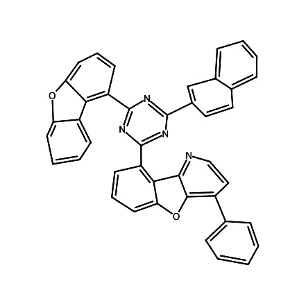 c1ccc(-c2ccnc3c2oc2cccc(-c4nc(-c5ccc6ccccc6c5)nc(-c5cccc6oc7ccccc7c56)n4)c23)cc1